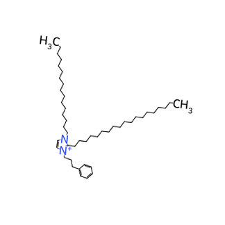 CCCCCCCCCCCCCCCCCCCc1n(CCCCCCCCCCCCCCCC)cc[n+]1CCCc1ccccc1